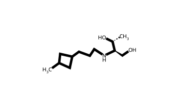 CC1CC(CCCN[C@H](CO)[C@@H](C)O)C1